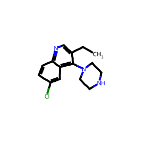 CCc1cnc2ccc(Cl)cc2c1N1CCNCC1